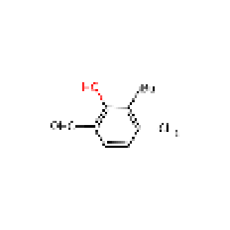 CCC(C)c1c(C)ccc(C=O)c1O